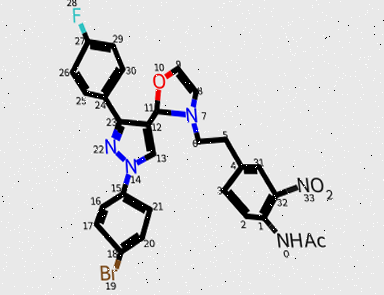 CC(=O)Nc1ccc(CCN2C=COC2c2cn(-c3ccc(Br)cc3)nc2-c2ccc(F)cc2)cc1[N+](=O)[O-]